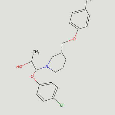 CC(O)C(Oc1ccc(Cl)cc1)N1CCCC(COc2ccc(C(F)(F)F)cc2)C1